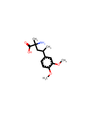 COc1ccc(C(C)CC(C)(N)C(=O)O)cc1OC